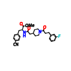 COC(=O)C(Cc1ccc(C#N)cc1)NC(=O)CC1CCN(C(=O)CCc2cccc(F)c2)CC1